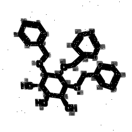 O[C@H]1[C@H](O)[C@@H](OCc2ccccc2)[C@H](OCc2ccccc2)[C@@H](OCc2ccccc2)[C@H]1O